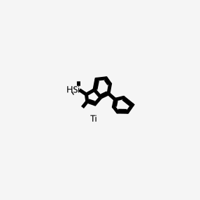 CC1=Cc2c(-c3ccccc3)cccc2C1[SiH](C)C.[Ti]